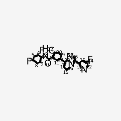 O=C(Nc1ccc(F)cc1)c1cc(-c2cccn3c(-c4cncc(F)c4)cnc23)ccc1C(F)(F)F